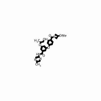 COC1CN(C(=O)c2ccc(Oc3cc(O[C@@H](C)CO)cc(C(=O)Nc4cnc(C)cn4)c3)cc2)C1